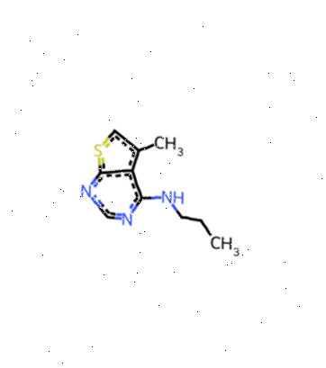 CCCNc1ncnc2scc(C)c12